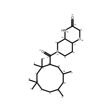 CC1CCC(C)(C)CC(C)(C)C(C(=O)N2CCC3OCC(=O)NC3C2)CC(C)C1